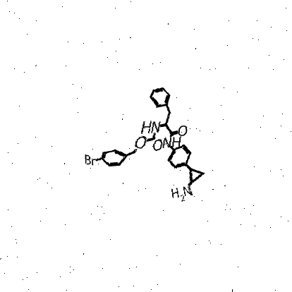 NC1CC1c1ccc(NC(=O)C(Cc2ccccc2)NC(=O)OCc2ccc(Br)cc2)cc1